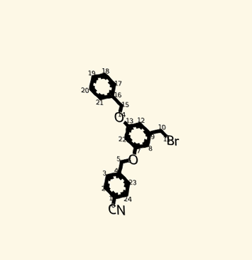 N#Cc1ccc(COc2cc(CBr)cc(OCc3ccccc3)c2)cc1